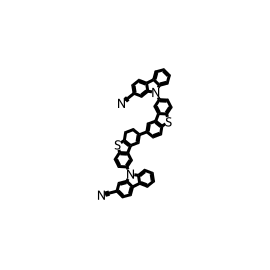 N#Cc1ccc2c3ccccc3n(-c3ccc4sc5c(c4c3)C=C(c3ccc4sc6ccc(-n7c8ccccc8c8ccc(C#N)cc87)cc6c4c3)CC5)c2c1